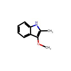 COc1c(C)[nH]c2ccccc12